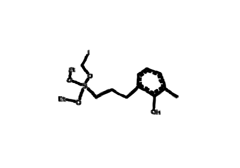 CCO[Si](CCCc1cccc(C)c1O)(OCC)OCI